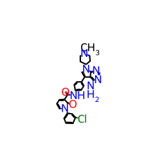 CN1CCC(n2cc(-c3ccc(NC(=O)c4cccn(-c5cccc(Cl)c5)c4=O)cc3)c3c(N)ncnc32)CC1